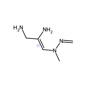 C=NN(C)/C=C(\N)CN